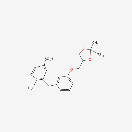 Cc1ccc(S(=O)(=O)O)cc1Cc1cccc(OCC2COC(C)(C)O2)c1